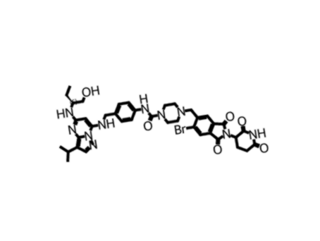 CC[C@@H](CO)Nc1cc(NCc2ccc(NC(=O)N3CCN(Cc4cc5c(cc4Br)C(=O)N(C4CCC(=O)NC4=O)C5=O)CC3)cc2)n2ncc(C(C)C)c2n1